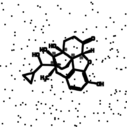 C[N@+]1(C(O)C2CC2)CC[C@]23c4c5ccc(O)c4O[C@H]2C(=O)CC[C@@]3(O)[C@@]1(O)C5